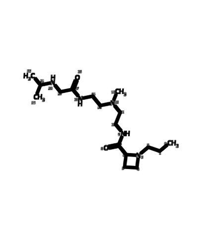 CCCN1CCC1C(=O)NCCN(C)CCNC(=O)CNC(C)C